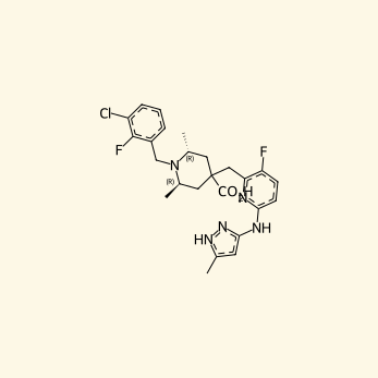 Cc1cc(Nc2ccc(F)c(CC3(C(=O)O)C[C@@H](C)N(Cc4cccc(Cl)c4F)[C@H](C)C3)n2)n[nH]1